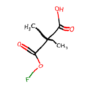 CC(C)(C(=O)O)C(=O)OF